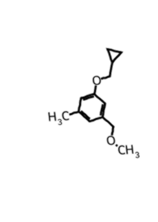 COCc1cc(C)cc(OCC2CC2)c1